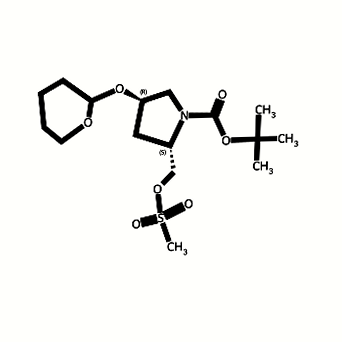 CC(C)(C)OC(=O)N1C[C@H](OC2CCCCO2)C[C@H]1COS(C)(=O)=O